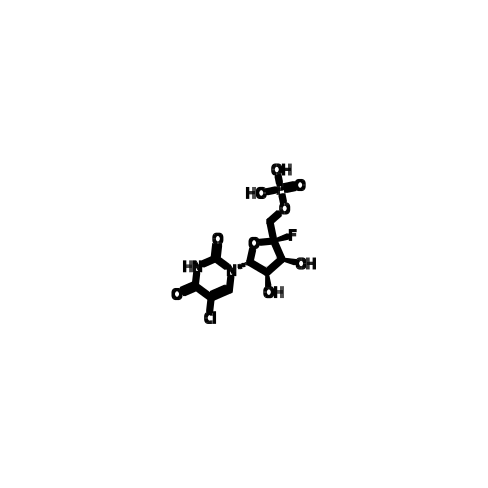 O=c1[nH]c(=O)n([C@@H]2O[C@](F)(COP(=O)(O)O)[C@@H](O)[C@H]2O)cc1Cl